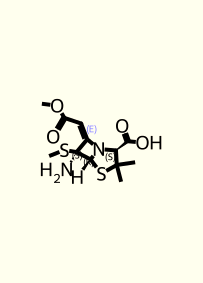 COC(=O)/C=C1/N2[C@@H](C(=O)O)C(C)(C)S[C@@H]2[C@@]1(N)SC